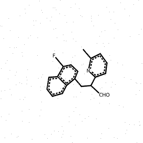 Cc1cccc(C(C=O)Cc2ccc(F)c3ccccc23)n1